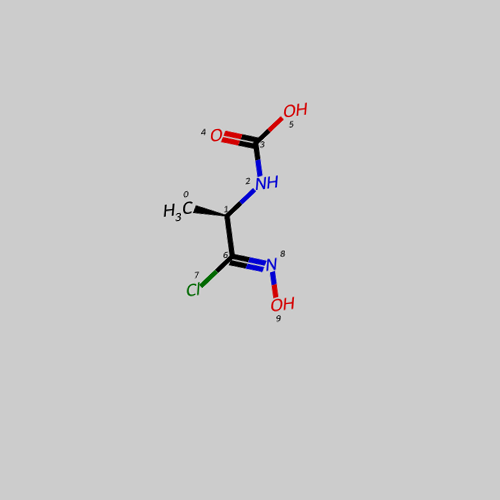 C[C@@H](NC(=O)O)/C(Cl)=N/O